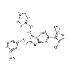 Cc1noc(C)c1-c1ccc2c(c1)nc(CCc1cccc(N)c1)n2CCN1CCOCC1